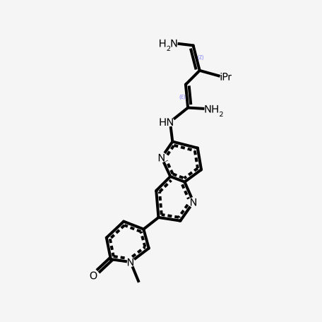 CC(C)C(=C/N)/C=C(\N)Nc1ccc2ncc(-c3ccc(=O)n(C)c3)cc2n1